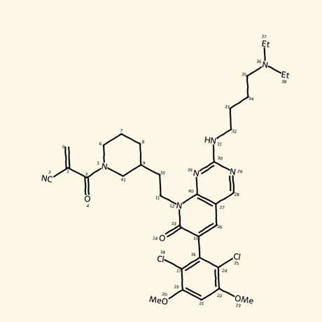 C=C(C#N)C(=O)N1CCCC(CCn2c(=O)c(-c3c(Cl)c(OC)cc(OC)c3Cl)cc3cnc(NCCCCN(CC)CC)nc32)C1